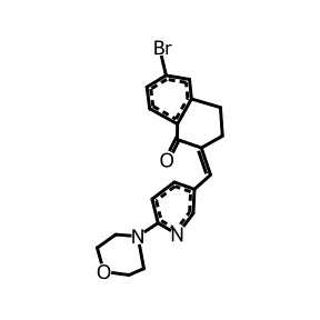 O=C1C(=Cc2ccc(N3CCOCC3)nc2)CCc2cc(Br)ccc21